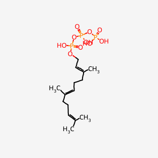 CC(C)=CCCC(C)=CCCC(C)=CCOP(=O)(O)OP(=O)(O)OP(=O)(O)O